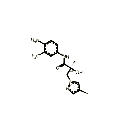 C[C@](O)(Cn1cc(F)cn1)C(=O)Nc1ccc(N)c(C(F)(F)F)c1